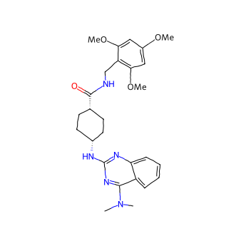 COc1cc(OC)c(CNC(=O)[C@H]2CC[C@@H](Nc3nc(N(C)C)c4ccccc4n3)CC2)c(OC)c1